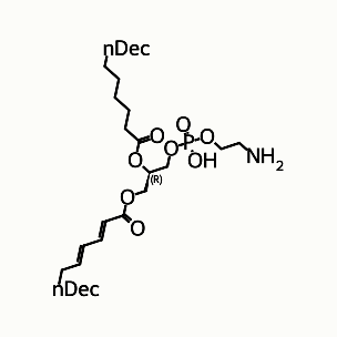 CCCCCCCCCCCC=CC=CC(=O)OC[C@H](COP(=O)(O)OCCN)OC(=O)CCCCCCCCCCCCCCC